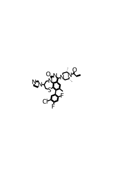 C=CC(=O)N1[C@H](C)CN(c2nc(=O)n3c4c(c(-c5cc(Cl)c(F)cc5F)c(C)cc24)SCC(n2ccnc2)C3)C[C@@H]1C